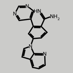 N=C(N)c1ccc(-n2ccc3cccnc32)cc1-c1cncnc1